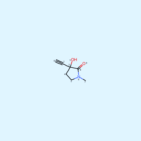 C#CC1(O)CCN(C)C1=O